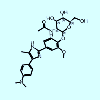 COc1cc(-c2nc(-c3ccc(N(C)C)cc3)c(C)[nH]2)ccc1O[C@@H]1O[C@H](CO)[C@@H](O)[C@H](O)[C@H]1NC(C)=O